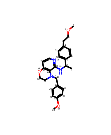 COCCc1ccc(C(C)Nc2nccc3c2N(Cc2ccc(OC)cc2)CCO3)cc1